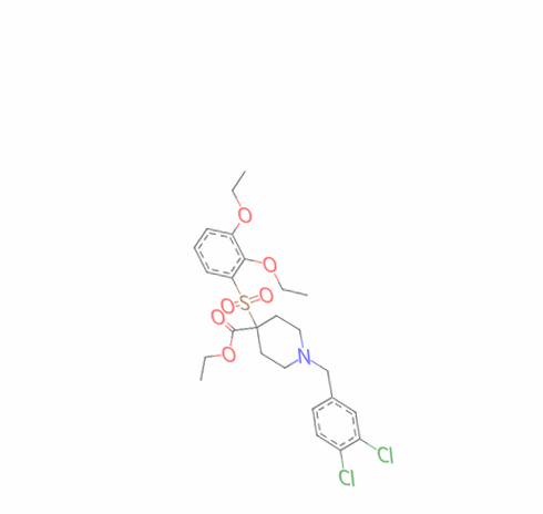 CCOC(=O)C1(S(=O)(=O)c2cccc(OCC)c2OCC)CCN(Cc2ccc(Cl)c(Cl)c2)CC1